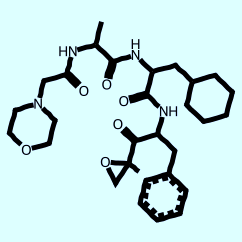 CC(NC(=O)CN1CCOCC1)C(=O)NC(CC1CCCCC1)C(=O)NC(Cc1ccccc1)C(=O)C1(C)CO1